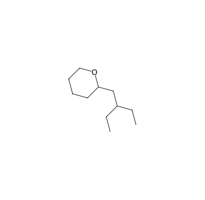 CCC(CC)CC1CCCCO1